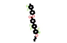 CCCCOc1ccc(-c2ccc(C3CCC(C(=O)OC4CCC(c5ccc(C)c(F)c5F)CC4)CC3)c(F)c2F)c(F)c1F